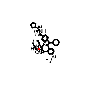 COc1ccc2c(c1)C1CC1(C(=O)N1C3COC[C@H]1CN(C)C3)Cn1c-2c(C2CCCCC2)c2ccc(C(=O)NS(=O)(=O)C3CCCC3)cc21